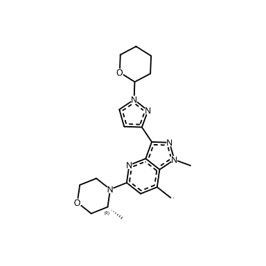 [CH2]c1cc(N2CCOC[C@H]2C)nc2c(-c3ccn(C4CCCCO4)n3)nn(C)c12